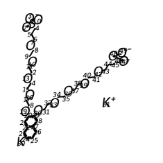 O=S(=O)([O-])CCCOCCOCCOCCOCCOc1cc2ccccc2cc1OCCOCCOCCOCCOCCCS(=O)(=O)[O-].[K+].[K+]